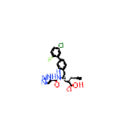 C#CC[C@H](C[C@@H](Cc1ccc(-c2cc(Cl)ccc2F)cc1)NC(=O)c1cnn[nH]1)C(=O)O